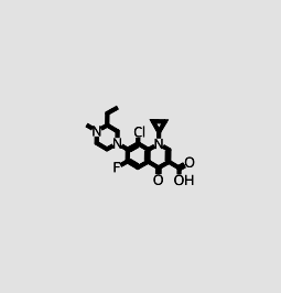 CCC1CN(c2c(F)cc3c(=O)c(C(=O)O)cn(C4CC4)c3c2Cl)CCN1C